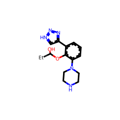 CCC(O)Oc1c(-c2c[nH]nn2)cccc1N1CCNCC1